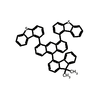 CC1(C)c2ccccc2-c2c(-c3c4cccc(-c5cccc6sc7ccccc7c56)c4cc4c(-c5cccc6sc7ccccc7c56)cccc34)cccc21